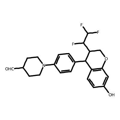 O=CC1CCN(c2ccc(C3c4ccc(O)cc4OCC3C(F)C(F)F)cc2)CC1